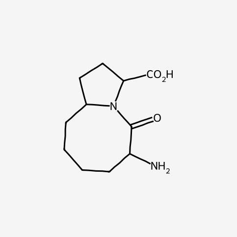 NC1CCCCC2CCC(C(=O)O)N2C1=O